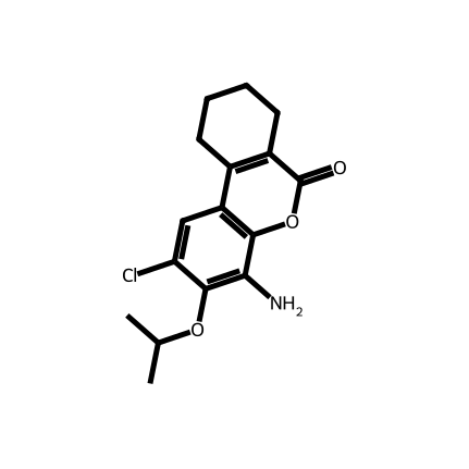 CC(C)Oc1c(Cl)cc2c3c(c(=O)oc2c1N)CCCC3